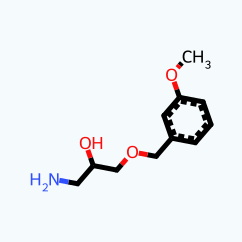 COc1cccc(COCC(O)CN)c1